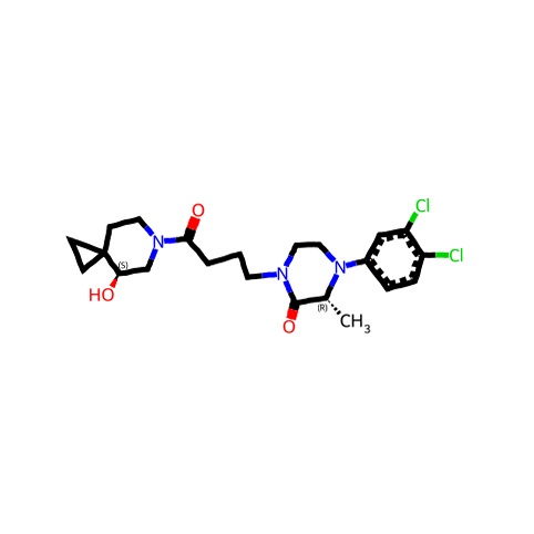 C[C@@H]1C(=O)N(CCCC(=O)N2CCC3(CC3)[C@H](O)C2)CCN1c1ccc(Cl)c(Cl)c1